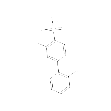 NS(=O)(=O)c1ccc(-c2ccc[c]c2Cl)cc1O